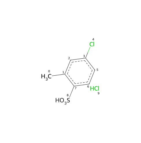 Cc1cc(Cl)ccc1S(=O)(=O)O.Cl